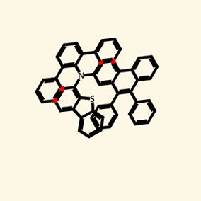 c1ccc(-c2cccc(-c3ccccc3)c2N(c2ccc3c(c2)c(-c2ccccc2)c(-c2ccccc2)c2ccccc23)c2cccc3c2sc2ccccc23)cc1